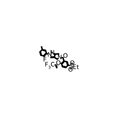 CCS(=O)(=O)c1ccc(O[C@@H](C)C(F)(F)F)c(C(=O)N2Cc3cn(-c4cc(C)ccc4F)nc3C2)c1